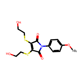 CCCCOc1ccc(N2C(=O)C(SCCO)=C(SCCO)C2=O)cc1